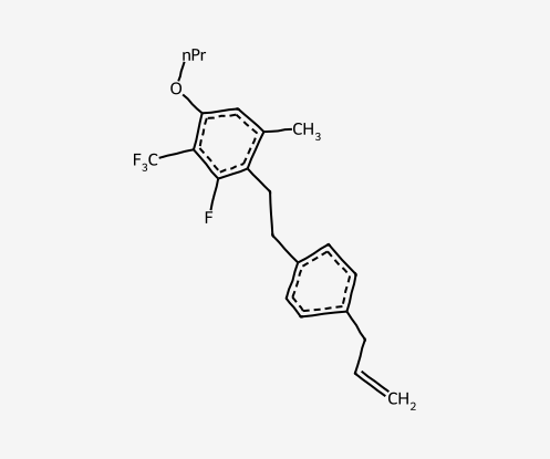 C=CCc1ccc(CCc2c(C)cc(OCCC)c(C(F)(F)F)c2F)cc1